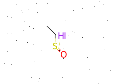 CC[S+]=O.I